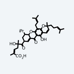 CC(C)=CCCC1(C)C=Cc2c(O)c3c(c(CC=C(C)C)c2O1)OC1C(=CC(C(=O)C(C)(O)C/C=C(/C)C(=O)O)CC1C(C)C)C3=O